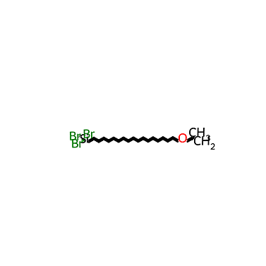 C=C(C)COCCCCCCCCCCCCCCCCCCC[Si](Br)(Br)Br